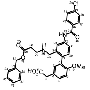 COc1ccc(CC(=O)O)cc1-c1ccc(NC(=O)c2ccc(Cl)cc2)cc1CNCCC(=O)OCc1ccccc1